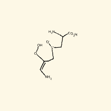 N/C=C(\C[S+]([O-])CC(N)C(=O)O)OO